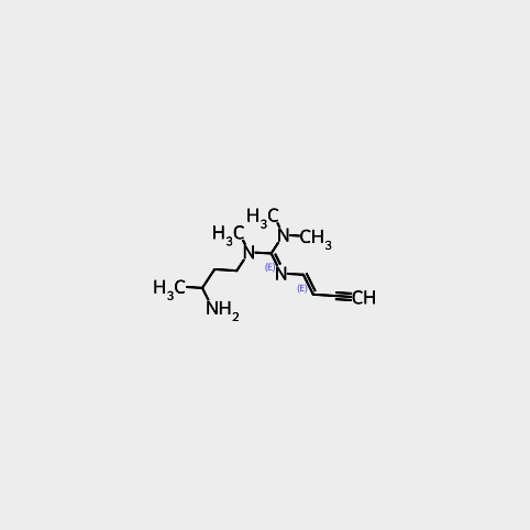 C#C/C=C/N=C(\N(C)C)N(C)CCC(C)N